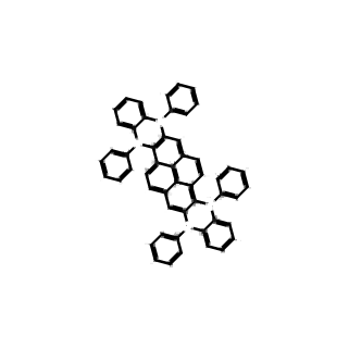 c1ccc(B2c3ccccc3B(c3ccccc3)c3c2cc2ccc4c5c(ccc3c25)cc2c4n(-c3ccccc3)c3ccccc3n2-c2ccccc2)cc1